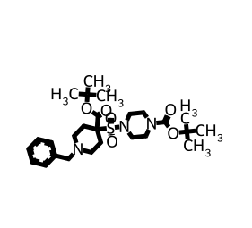 CC(C)(C)OC(=O)N1CCN(S(=O)(=O)C2(C(=O)OC(C)(C)C)CCN(Cc3ccccc3)CC2)CC1